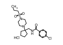 CCCS(=O)(=O)N1CCN(C2(CNC(=O)c3ccc(Cl)cc3)CCCC2)CC1.Cl